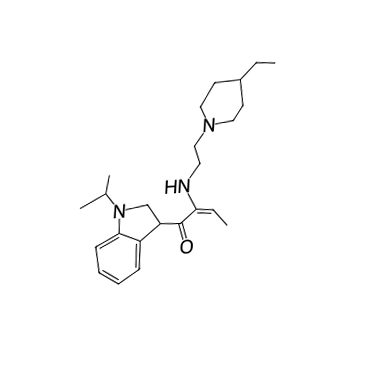 C/C=C(/NCCN1CCC(CC)CC1)C(=O)C1CN(C(C)C)c2ccccc21